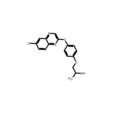 CC(O)COc1ccc(Oc2cnc3cc(Cl)ccc3n2)cc1